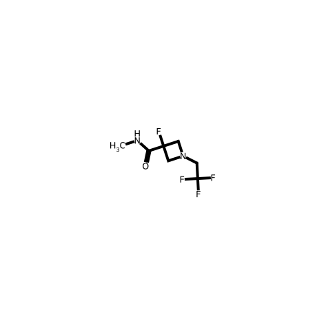 CNC(=O)C1(F)CN(CC(F)(F)F)C1